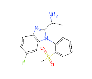 CC(N)c1nc2ccc(F)cc2n1-c1ccccc1S(C)(=O)=O